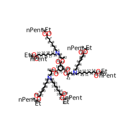 CCCCCC(CC)OC(=O)CCCCCCCCN(CCCCCCCCC(=O)OC(CC)CCCCC)CCC(C)OC(=O)C1C[C@H](C(=O)OC(C)CCN(CCCCCCCCC(=O)OC(CC)CCCCC)CCCCCCCCC(=O)OC(CC)CCCCC)C[C@H](C(=O)OC(C)CCN(CCCCCCCCC(=O)OC(CC)CCCCC)CCCCCCCCC(=O)OC(CC)CCCCC)C1